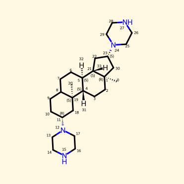 C[C@]12CC[C@H]3[C@@H](CCC4CC[C@@H](N5CCNCC5)C[C@@]43C)[C@@H]1C[C@H](N1CCNCC1)C2